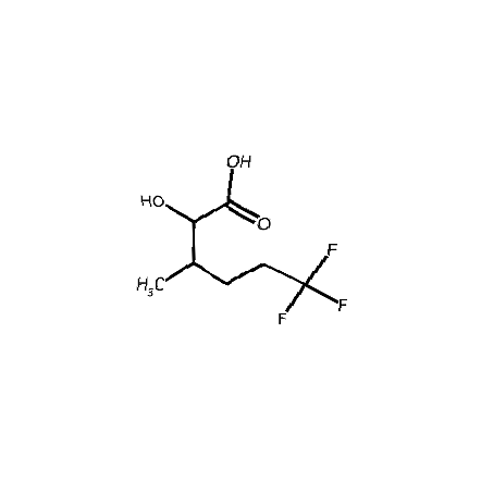 CC(CCC(F)(F)F)C(O)C(=O)O